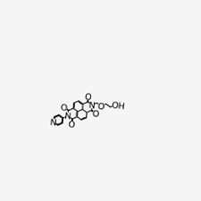 O=C1C2=CC=C3C(=O)N(c4ccncc4)C(=O)C4=C3C2C(C=C4)C(=O)N1COCCO